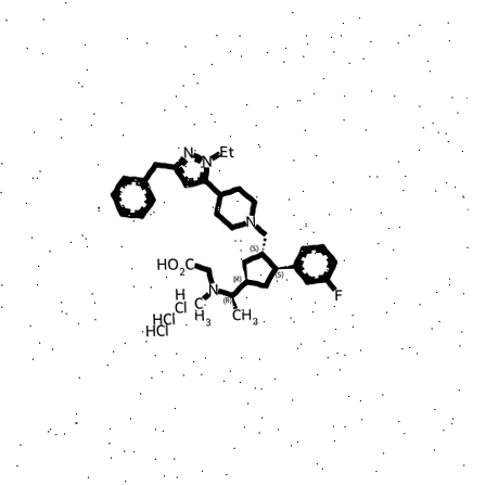 CCn1nc(Cc2ccccc2)cc1C1CCN(C[C@H]2C[C@H]([C@@H](C)N(C)CC(=O)O)C[C@@H]2c2cccc(F)c2)CC1.Cl.Cl.Cl